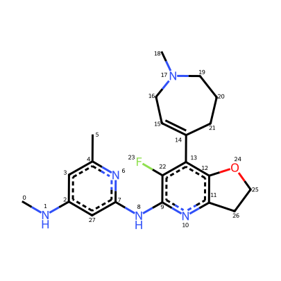 CNc1cc(C)nc(Nc2nc3c(c(C4=CCN(C)CCC4)c2F)OCC3)c1